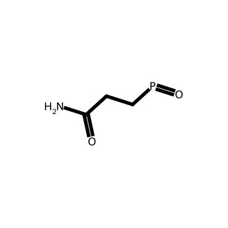 NC(=O)CCP=O